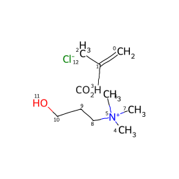 C=C(C)C(=O)O.C[N+](C)(C)CCCO.[Cl-]